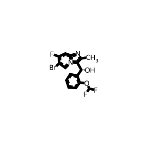 Cc1nc2cc(F)c(Br)cn2c1[C@H](O)c1ccccc1OC(F)F